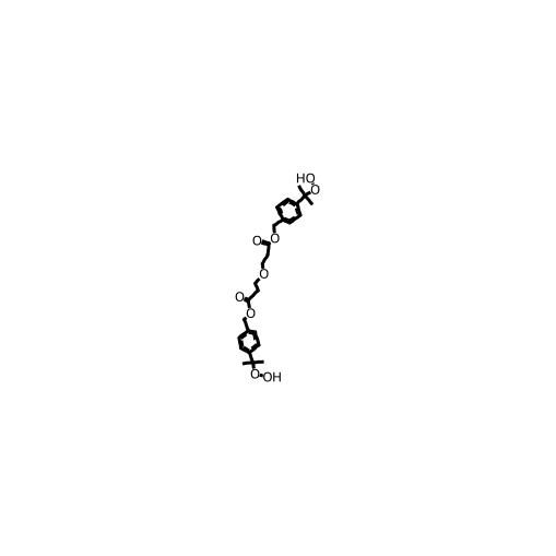 CC(C)(OO)c1ccc(COC(=O)CCOCCC(=O)OCc2ccc(C(C)(C)OO)cc2)cc1